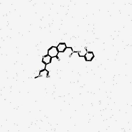 CN/C=C(\C=N)c1cnc2ccc3ccc(C[S+]([O-])NCc4cccc[n+]4[O-])cc3c(=O)c2c1